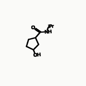 CC(C)NC(=O)C1CCC(O)C1